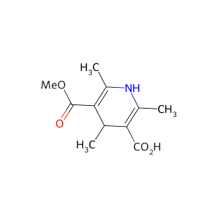 COC(=O)C1=C(C)NC(C)=C(C(=O)O)C1C